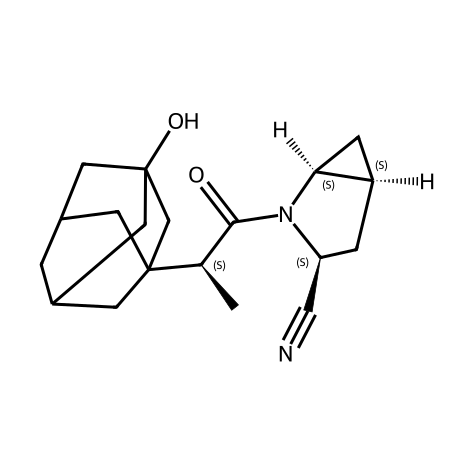 C[C@H](C(=O)N1[C@H](C#N)C[C@@H]2C[C@@H]21)C12CC3CC(CC(O)(C3)C1)C2